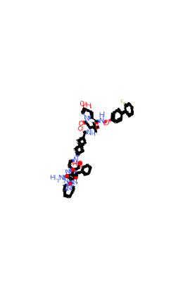 CC(C)(C)C(NC(=O)C1CC2(C1)CC(N1CCC(c3cnc(N4C5CCC4CN(c4cc(-c6ccccc6O)nnc4N)C5)nc3)CC1)C2)C(=O)N1C[C@H](O)C[C@H]1C(=O)NOc1ccc(-c2ccccc2F)cc1